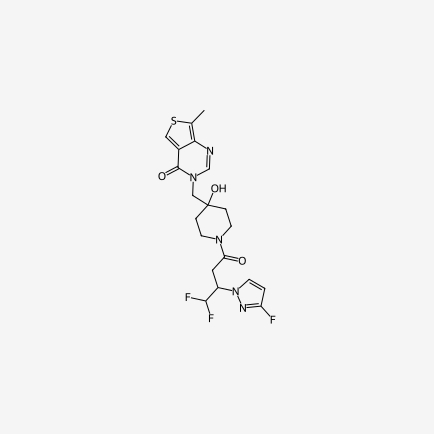 Cc1scc2c(=O)n(CC3(O)CCN(C(=O)CC(C(F)F)n4ccc(F)n4)CC3)cnc12